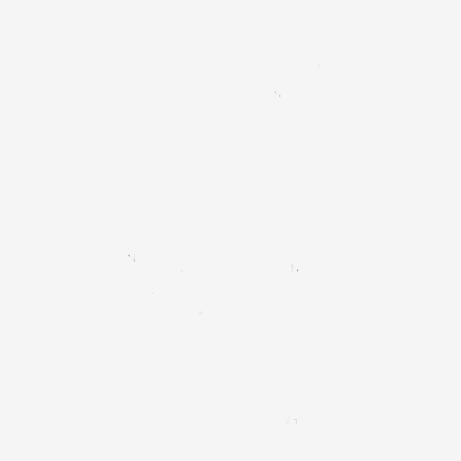 CC(C)c1ccc([C@](O)(c2cncc(CCC(C)(C)N3CCCC3=O)c2)C2(C)CN(C)C2)cc1